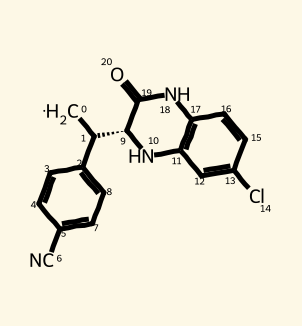 [CH2]C(c1ccc(C#N)cc1)[C@H]1Nc2cc(Cl)ccc2NC1=O